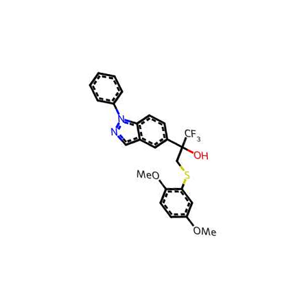 COc1ccc(OC)c(SCC(O)(c2ccc3c(cnn3-c3ccccc3)c2)C(F)(F)F)c1